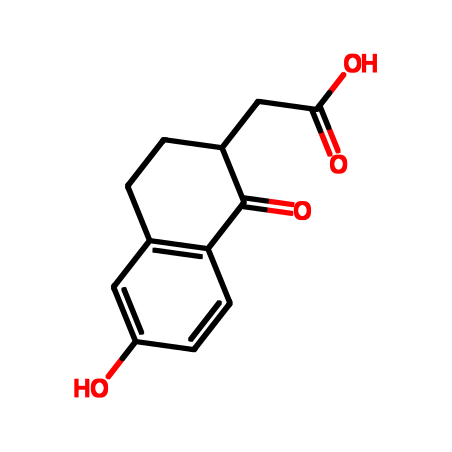 O=C(O)CC1CCc2cc(O)ccc2C1=O